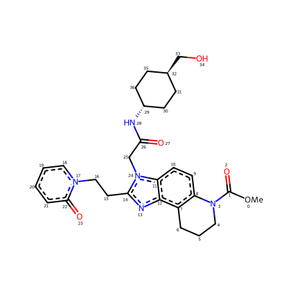 COC(=O)N1CCCc2c1ccc1c2nc(CCn2ccccc2=O)n1CC(=O)N[C@H]1CC[C@H](CO)CC1